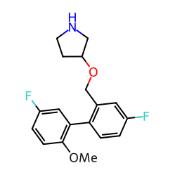 COc1ccc(F)cc1-c1ccc(F)cc1COC1CCNC1